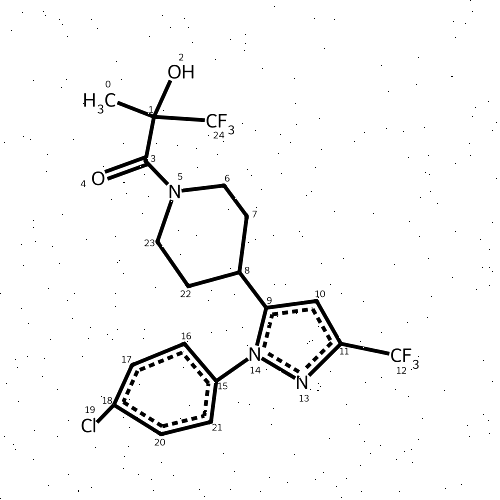 CC(O)(C(=O)N1CCC(c2cc(C(F)(F)F)nn2-c2ccc(Cl)cc2)CC1)C(F)(F)F